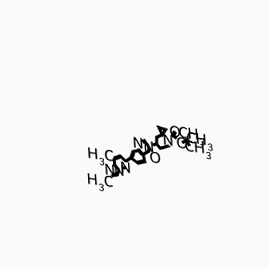 Cc1cn2nc(-c3ccc4c(=O)n(C5CCN(C(=O)OC(C)(C)C)C6(CC6)C5)cnc4c3)cc(C)c2n1